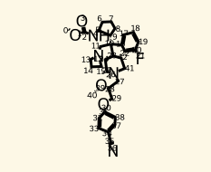 COC(=O)N[C@H]1CCC[C@@H]1C(CN1CCC1)(c1cccc(F)c1)C1CCN(CC(COc2ccc(C#N)cc2)OC)CC1